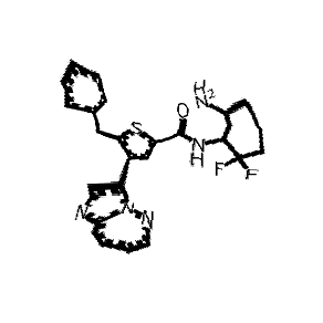 NC1CCCC(F)(F)C1NC(=O)c1cc(-c2cnc3cccnn23)c(Cc2ccccc2)s1